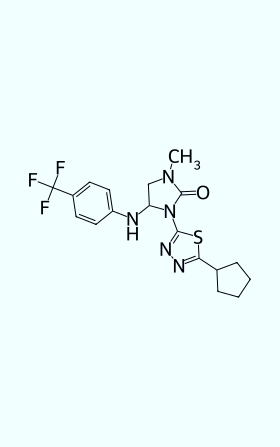 CN1CC(Nc2ccc(C(F)(F)F)cc2)N(c2nnc(C3CCCC3)s2)C1=O